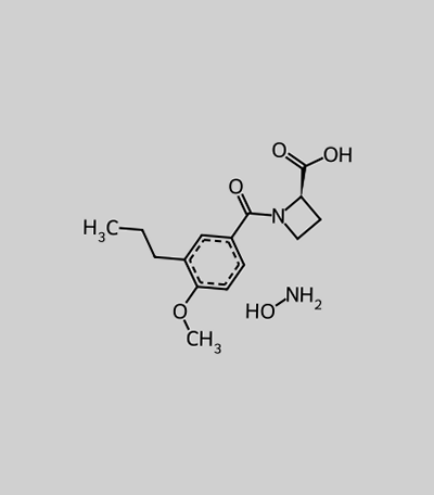 CCCc1cc(C(=O)N2CC[C@@H]2C(=O)O)ccc1OC.NO